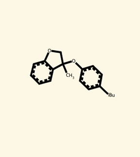 CCC(C)c1ccc(OC2(C)COc3ccccc32)cc1